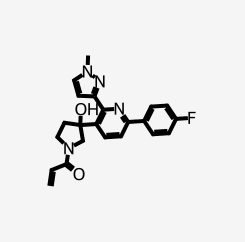 C=CC(=O)N1CCC(O)(c2ccc(-c3ccc(F)cc3)nc2-c2ccn(C)n2)C1